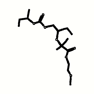 CCC(C)OC(=O)OCC(CC)OC(C)(C)C(=O)OCCOC